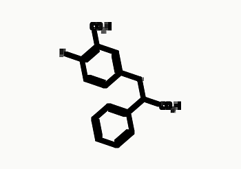 O=C(O)c1cc([CH]C(C(=O)O)c2ccccc2)ccc1F